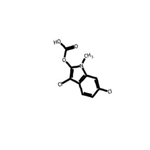 Cn1c(OC(=O)O)c(Cl)c2ccc(Cl)cc21